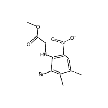 COC(=O)CNc1c([N+](=O)[O-])cc(C)c(C)c1Br